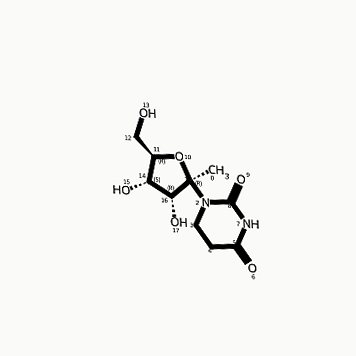 C[C@@]1(N2CCC(=O)NC2=O)O[C@H](CO)[C@@H](O)[C@H]1O